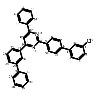 Clc1cccc(-c2ccc(-c3nc(-c4ccccc4)cc(-c4cccc(-c5ccccc5)c4)n3)cc2)c1